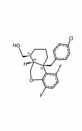 OC[C@H]1CCC[C@]2(Cc3ccc(Cl)cc3)c3c(F)ccc(F)c3OC[C@H]12